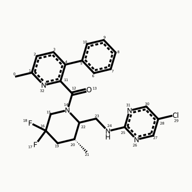 Cc1ccc(-c2ccccc2)c(C(=O)N2CC(F)(F)C[C@@H](C)C2CNc2ncc(Cl)cn2)n1